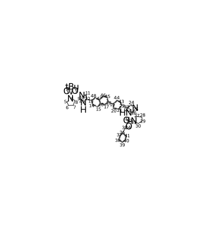 CC(C)(C)OC(=O)N1CCC[C@H]1c1ncc(-c2ccc3cc(-c4ccc(-c5cnc([C@@H]6CCCN6C(=O)OCc6ccccc6)[nH]5)cc4)ccc3c2)[nH]1